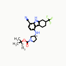 CC(C)(C)OC(=O)N1CC[C@H](Nc2ccc(C#N)c3[nH]c4c(c23)CCC(C(F)(F)F)C4)C1